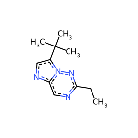 CCc1ncc2ncc(C(C)(C)C)n2n1